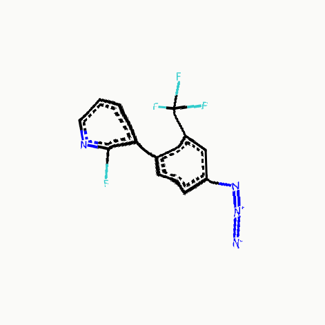 [N-]=[N+]=Nc1ccc(-c2cccnc2F)c(C(F)(F)F)c1